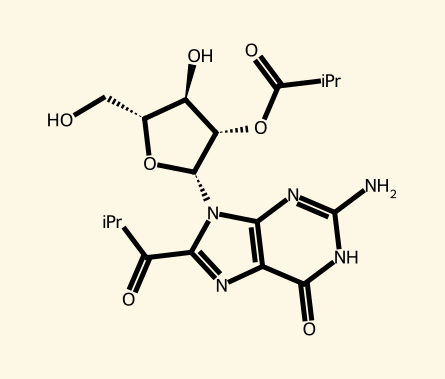 CC(C)C(=O)O[C@H]1[C@H](O)[C@@H](CO)O[C@H]1n1c(C(=O)C(C)C)nc2c(=O)[nH]c(N)nc21